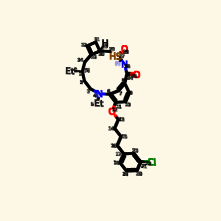 CC[C@@H]1CCN(CC)c2cc(ccc2OCCCCc2cccc(Cl)c2)C(=O)/N=[SH](=O)\C[C@@H]2CC=C2C1